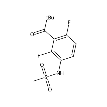 CC(C)(C)C(=O)c1c(F)ccc(NS(C)(=O)=O)c1F